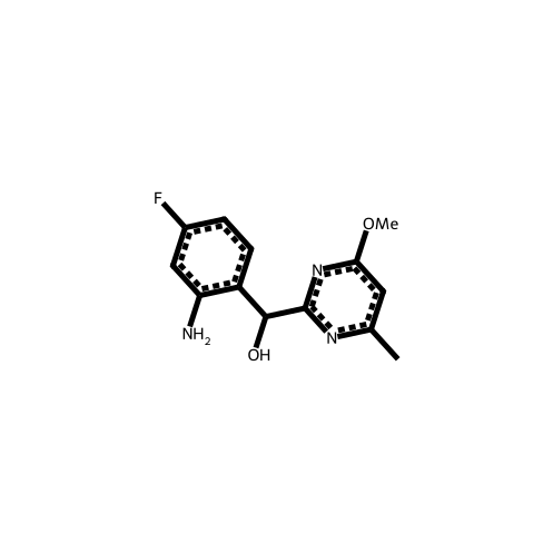 COc1cc(C)nc(C(O)c2ccc(F)cc2N)n1